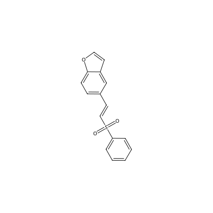 O=S(=O)(C=Cc1ccc2occc2c1)c1ccccc1